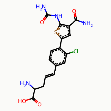 NC(=O)Nc1sc(-c2ccc(C=CCC(N)C(=O)O)cc2Cl)cc1C(N)=O